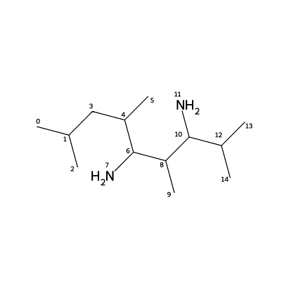 CC(C)CC(C)C(N)C(C)C(N)C(C)C